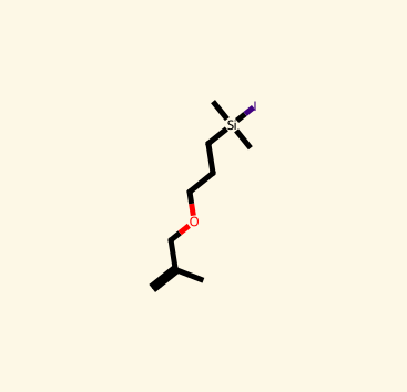 C=C(C)COCCC[Si](C)(C)I